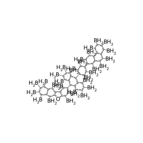 Bc1c(B)c(-c2c3c(B)c(B)c(B)c(B)c3c(-c3c(B)c(B)c4oc5c(B)c6c(B)c(B)c(B)c(B)c6c(B)c5c4c3B)c3c(B)c(B)c(B)c(B)c23)c(B)c(B)c1-c1c(B)c(B)c2c(c1B)c(B)c(B)c1c(B)c(B)c(B)c(B)c12